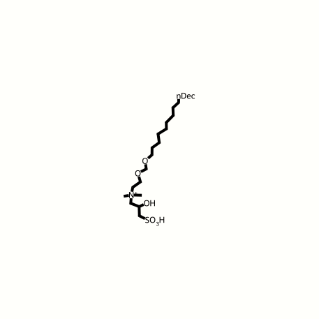 CCCCCCCCCCCCCCCCCCCOCOCC[N+](C)(C)CC(O)CS(=O)(=O)O